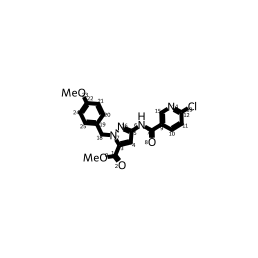 COC(=O)c1cc(NC(=O)c2ccc(Cl)nc2)nn1Cc1ccc(OC)cc1